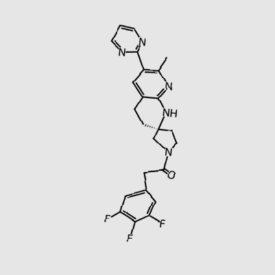 Cc1nc2c(cc1-c1ncccn1)CC[C@@]1(CCN(C(=O)Cc3cc(F)c(F)c(F)c3)C1)N2